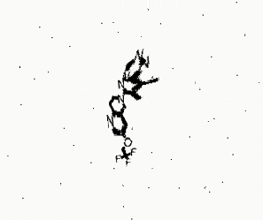 Cc1c(N2CCc3ncc(OCC(F)(F)F)cc3C2)nn2cnnc2c1C